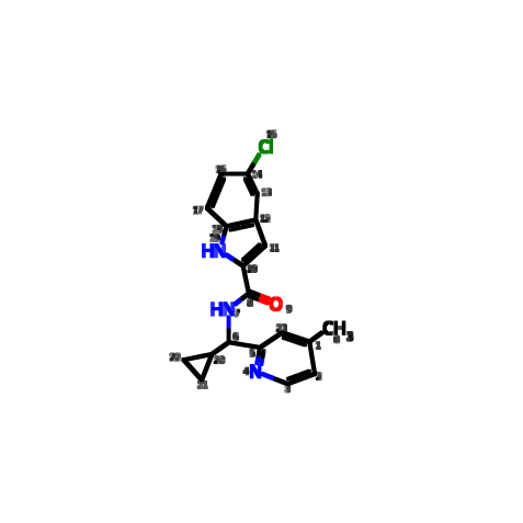 Cc1ccnc(C(NC(=O)c2cc3cc(Cl)ccc3[nH]2)C2CC2)c1